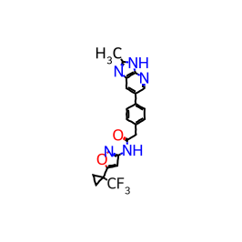 Cc1nc2cc(-c3ccc(CC(=O)Nc4cc(C5(C(F)(F)F)CC5)on4)cc3)cnc2[nH]1